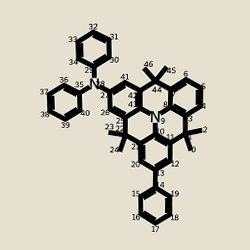 CC1(C)c2cccc3c2N2c4c1cc(-c1ccccc1)cc4C(C)(C)c1cc(N(c4ccccc4)c4ccccc4)cc(c12)C3(C)C